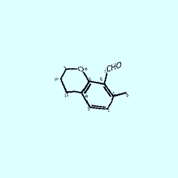 Cc1ccc2c(c1C=O)OCCC2